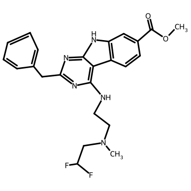 COC(=O)c1ccc2c(c1)[nH]c1nc(Cc3ccccc3)nc(NCCN(C)CC(F)F)c12